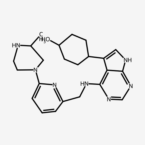 CC1CN(c2cccc(CNc3ncnc4[nH]cc(C5CCC(O)CC5)c34)n2)CCN1